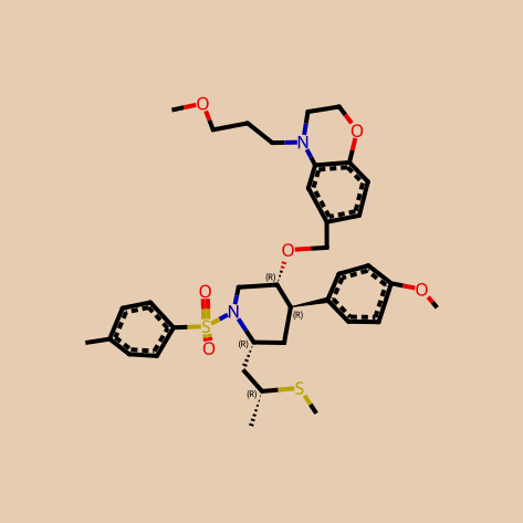 COCCCN1CCOc2ccc(CO[C@H]3CN(S(=O)(=O)c4ccc(C)cc4)[C@@H](C[C@@H](C)SC)C[C@@H]3c3ccc(OC)cc3)cc21